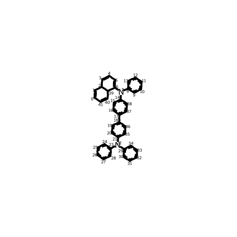 C1=CC2C=CC=C(N(c3ccccc3)c3ccc(-c4ccc(N(c5ccccc5)c5ccccc5)cc4)cc3)C2C=C1